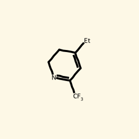 CCC1=CC(C(F)(F)F)=NCC1